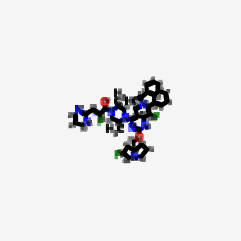 C#Cc1cccc2cccc(-c3ncc4c(N5C[C@H](C)N(C(=O)/C(F)=C/c6ncccn6)C[C@H]5C)nc(OC[C@@]56CCCN5C[C@H](F)C6)nc4c3F)c12